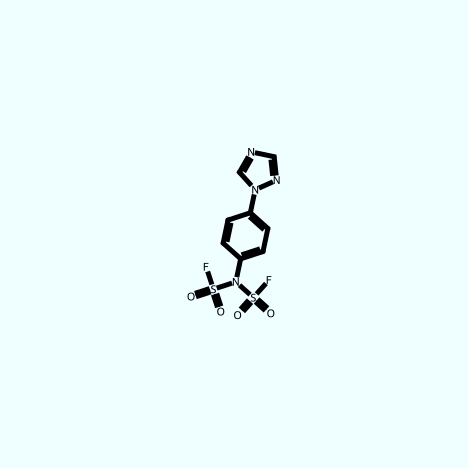 O=S(=O)(F)N(c1ccc(-n2cncn2)cc1)S(=O)(=O)F